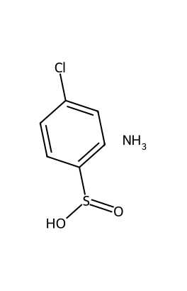 N.O=S(O)c1ccc(Cl)cc1